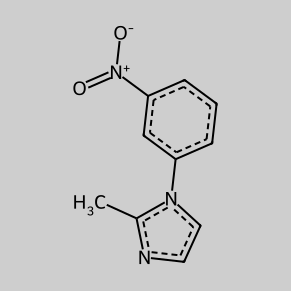 Cc1nccn1-c1cccc([N+](=O)[O-])c1